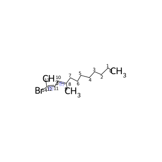 CCCCCCCC/C(C)=C/C=C(\C)Br